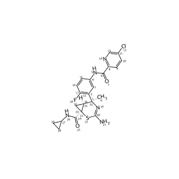 C[C@]1(c2cc(NC(=O)c3ccc(Cl)cn3)ccc2F)N=C(N)S[C@@]2(C(=O)NC3CC3)C[C@H]21